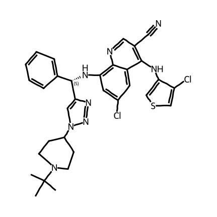 CC(C)(C)N1CCC(n2cc([C@@H](Nc3cc(Cl)cc4c(Nc5cscc5Cl)c(C#N)cnc34)c3ccccc3)nn2)CC1